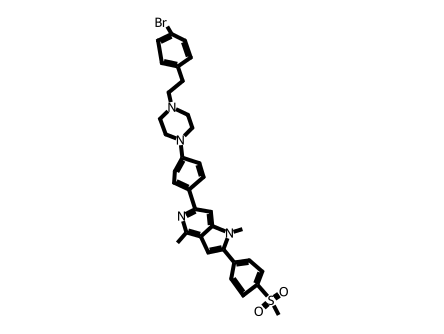 Cc1nc(-c2ccc(N3CCN(CCc4ccc(Br)cc4)CC3)cc2)cc2c1cc(-c1ccc(S(C)(=O)=O)cc1)n2C